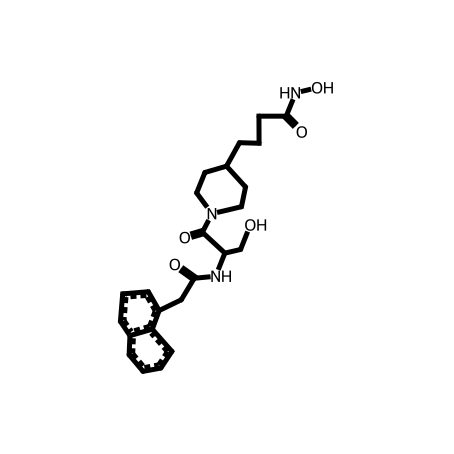 O=C(CCCC1CCN(C(=O)C(CO)NC(=O)Cc2cccc3ccccc23)CC1)NO